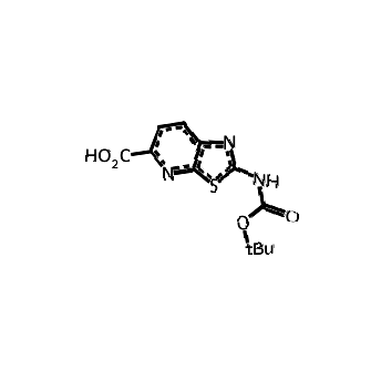 CC(C)(C)OC(=O)Nc1nc2ccc(C(=O)O)nc2s1